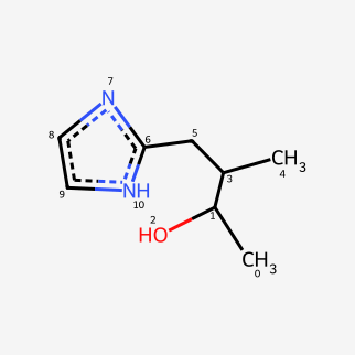 CC(O)C(C)Cc1ncc[nH]1